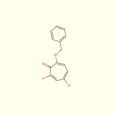 O=c1c(I)cc(Cl)ccc1OCc1ccccc1